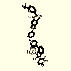 Cn1c(=O)n(C2CCC(=O)NC2=O)c2cccc(C3CCN(C[C@H]4CC[C@H](n5cc6cc(NC(=O)c7cccc(C(F)(F)F)n7)c(C#N)cc6n5)CC4)CC3(F)F)c21